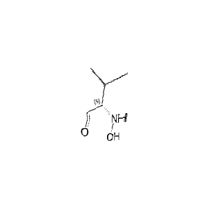 CC(C)[C@@H](C=O)NO